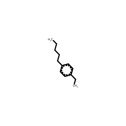 C[CH]c1ccc(CCCCC)cc1